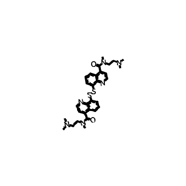 CN(C)CCN(C)C(=O)c1ccnc2c(SSc3cccc4c(C(=O)N(C)CCN(C)C)ccnc34)cccc12